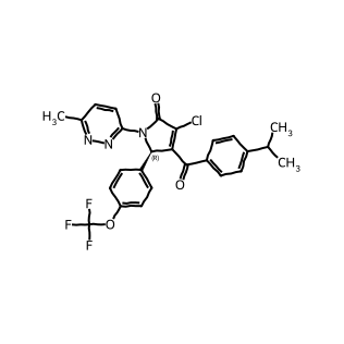 Cc1ccc(N2C(=O)C(Cl)=C(C(=O)c3ccc(C(C)C)cc3)[C@H]2c2ccc(OC(F)(F)F)cc2)nn1